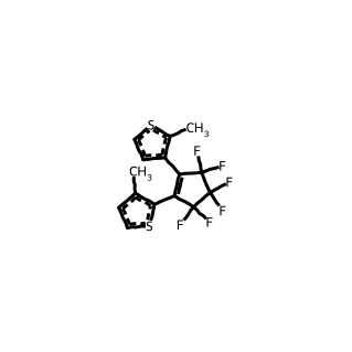 Cc1ccsc1C1=C(c2ccsc2C)C(F)(F)C(F)(F)C1(F)F